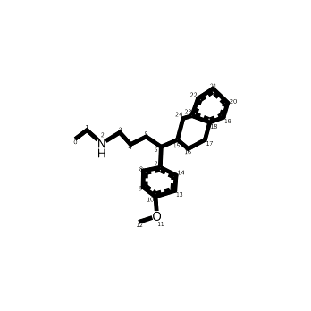 CCNCCCC(c1ccc(OC)cc1)C1CCc2ccccc2C1